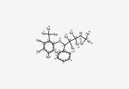 [2H]c1c([2H])c([2H])c(C([2H])([2H])[2H])c(OC(c2ccccc2)C([2H])([2H])C([2H])([2H])NC([2H])([2H])[2H])c1[2H]